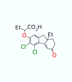 CCC(Oc1cc2c(c(Cl)c1Cl)C1=CC(=O)CCC1(CC)C2)C(=O)O